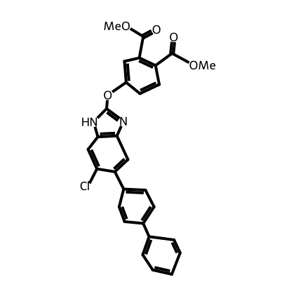 COC(=O)c1ccc(Oc2nc3cc(-c4ccc(-c5ccccc5)cc4)c(Cl)cc3[nH]2)cc1C(=O)OC